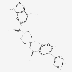 CCn1cnc2c(OC)cc(C(=O)N3CCC4(CC3)CC(=O)c3cc(-c5nnn[nH]5)ccc3O4)cc21